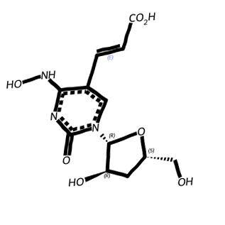 O=C(O)/C=C/c1cn([C@@H]2O[C@H](CO)C[C@H]2O)c(=O)nc1NO